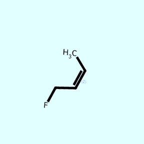 C/C=C\CF